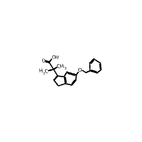 CC(C)(C(=O)O)C1CCc2ccc(OCc3ccccc3)cc21